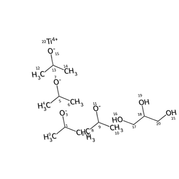 CC(C)[O-].CC(C)[O-].CC(C)[O-].CC(C)[O-].OCC(O)CO.[Ti+4]